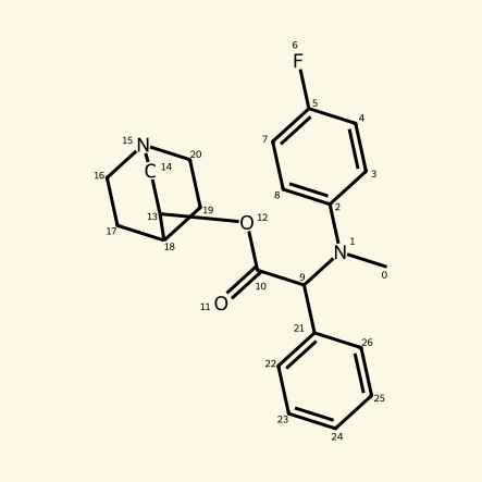 CN(c1ccc(F)cc1)C(C(=O)OC1CN2CCC1CC2)c1ccccc1